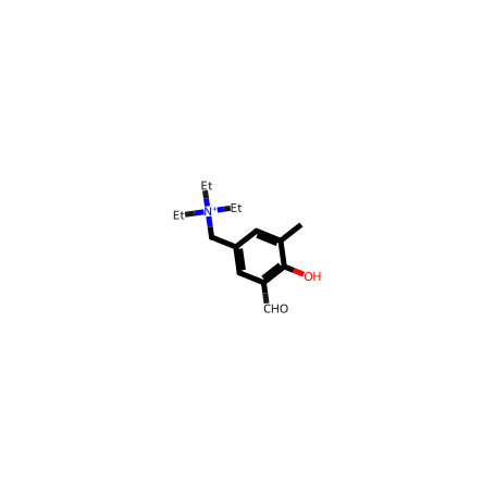 CC[N+](CC)(CC)Cc1cc(C)c(O)c(C=O)c1